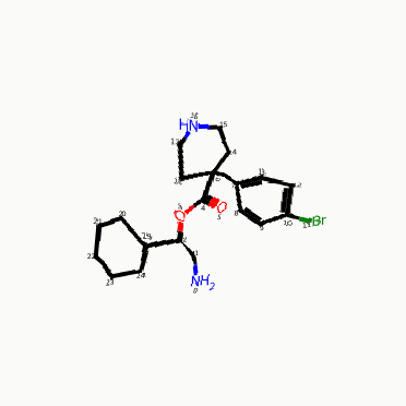 NC[C@H](OC(=O)C1(c2ccc(Br)cc2)CCNCC1)C1CCCCC1